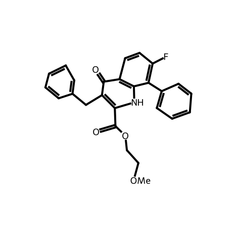 COCCOC(=O)c1[nH]c2c(-c3ccccc3)c(F)ccc2c(=O)c1Cc1ccccc1